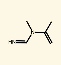 C=C(C)N(C)C=N